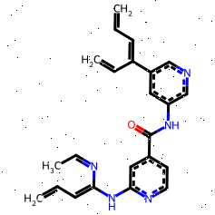 C=C/C=C(\N=C/C)Nc1cc(C(=O)Nc2cncc(/C(C=C)=C/C=C)c2)ccn1